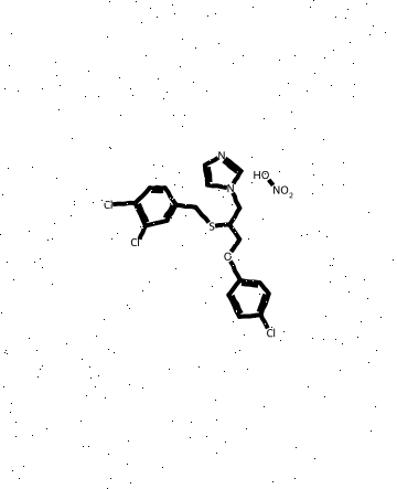 Clc1ccc(OCC(Cn2ccnc2)SCc2ccc(Cl)c(Cl)c2)cc1.O=[N+]([O-])O